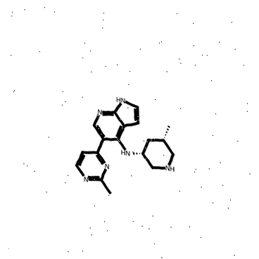 Cc1nccc(-c2cnc3[nH]ccc3c2N[C@H]2CNC[C@@H](C)C2)n1